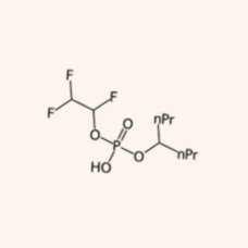 CCCC(CCC)OP(=O)(O)OC(F)C(F)F